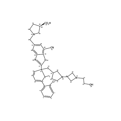 CC1C(c2ccccc2Cl)=CC=CC1(SC1CCN(C2CN(CCO)C2)C1)c1nc2cc(CN3CC[C@@H](C(=O)O)C3)cc(C#N)c2o1